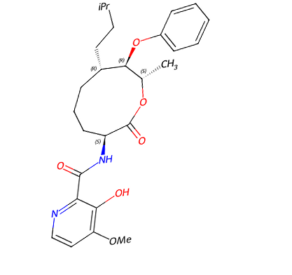 COc1ccnc(C(=O)N[C@H]2CCC[C@H](CCC(C)C)[C@@H](Oc3ccccc3)[C@H](C)OC2=O)c1O